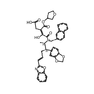 C[C@H]([C@H](CC=Cc1nc2ccccc2o1)c1ccc2c(c1)OCO2)N(Cc1ccc2ccccc2c1)C(=O)C(O)=C(CC(=O)O)C(=O)OC1CCOC1